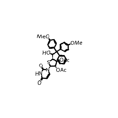 COc1ccc(C(c2ccccc2)(c2ccc(OC)cc2)C(O)[C@@H]2S[C@H](n3ccc(=O)[nH]c3=O)[C@H](OC(C)=O)[C@@H]2OC(C)=O)cc1